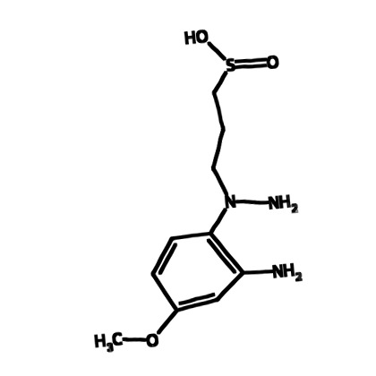 COc1ccc(N(N)CCCS(=O)O)c(N)c1